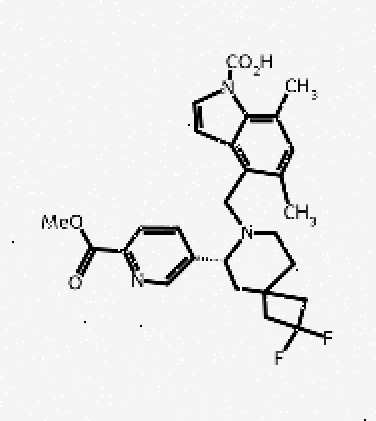 COC(=O)c1ccc([C@H]2CC3(CCN2Cc2c(C)cc(C)c4c2ccn4C(=O)O)CC(F)(F)C3)cn1